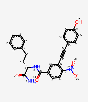 NC(=O)[C@H](CCc1ccccc1)NC(=O)c1ccc([N+](=O)[O-])c(C#Cc2ccc(O)cc2)c1